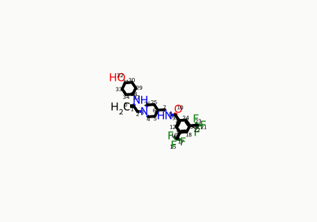 C=C(CN1CCC(CNC(=O)c2cc(C(F)(F)F)cc(C(F)(F)F)c2)CC1)N[C@H]1CC[C@H](O)CC1